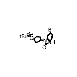 CC(C)(C)[Si](C)(C)OC1CCC(n2c(=O)[nH]c3ccc(Br)cc32)CC1